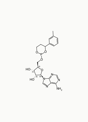 Cc1cccc(C2CCOP(OC[C@H]3O[C@@H](n4cnc5c(N)ncnc54)[C@H](O)[C@@H]3O)O2)c1